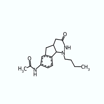 CCCCN1NC(=O)CC2Cc3cc(NC(C)=O)ccc3C21